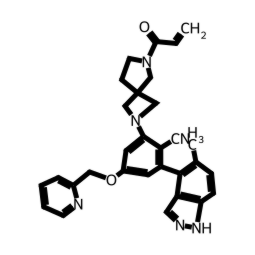 C=CC(=O)N1CCC2(C1)CN(c1cc(OCc3ccccn3)cc(-c3c(C)ccc4[nH]ncc34)c1C#N)C2